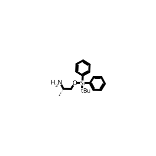 C[C@H](N)CO[Si](c1ccccc1)(c1ccccc1)C(C)(C)C